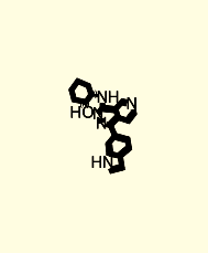 O[C@@H]1CCCC[C@H]1Nc1nnc(-c2ccc3cc[nH]c3c2)c2ccncc12